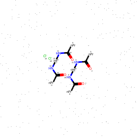 CCCC(=O)[NH][Hf+][NH]C(=O)CCC.CCCC(=O)[NH][Hf+][NH]C(=O)CCC.[Cl-].[Cl-]